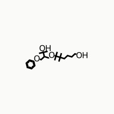 CC(C)(O)C(COc1ccccc1)COC(C)(C)C(C)(C)CCCCO